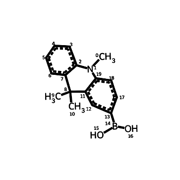 CN1c2ccccc2C(C)(C)c2cc(B(O)O)ccc21